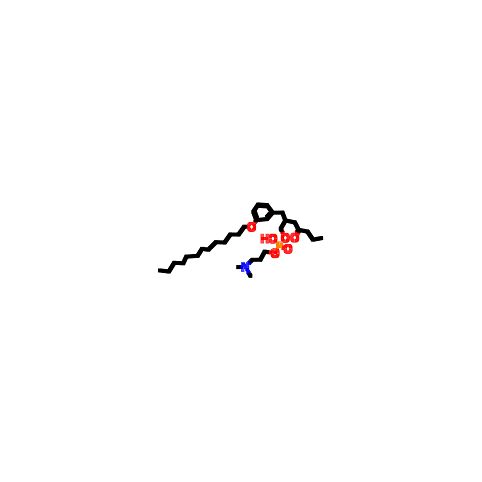 CCCCCCCCCCCCCOc1cccc(CC(COP(=O)(O)OCCCN(C)C)CC(=O)CCC)c1